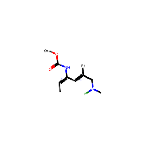 C/C=C(\C=C(/CC)CN(C)F)NC(=O)OC(C)(C)C